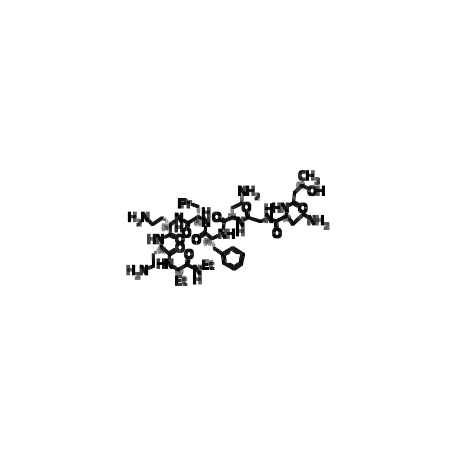 CCNC(=O)[C@H](CC)NC(=O)[C@H](CCN)NC(=O)[C@H](CCN)NC(=O)[C@H](CC(C)C)NC(=O)[C@@H](Cc1ccccc1)NC(=O)[C@H](CCN)NC(=O)CNC(=O)[C@H](CCN)NC(=O)C[C@H](C)O